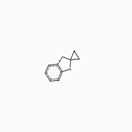 c1ccc2c(c1)CC1(CC1)S2